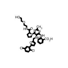 Cc1nc(Nc2ccccc2C(=O)O)c(NCc2ccc(-c3cc(Cl)ccc3Cl)o2)c(N2CCCC2C(=O)NCCOCCO)n1